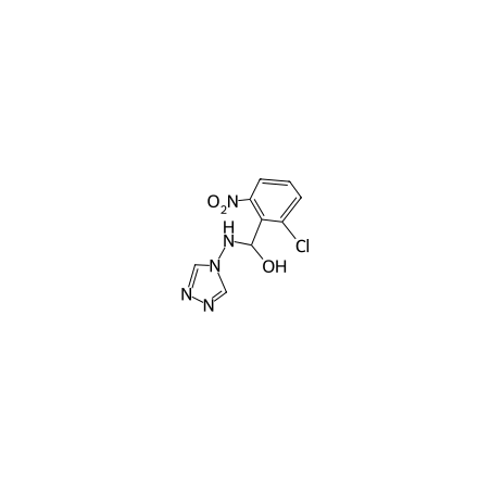 O=[N+]([O-])c1cccc(Cl)c1C(O)Nn1cnnc1